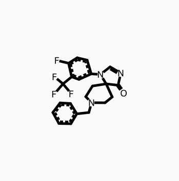 O=C1N=CN(c2ccc(F)c(C(F)(F)F)c2)C12CCN(Cc1ccccc1)CC2